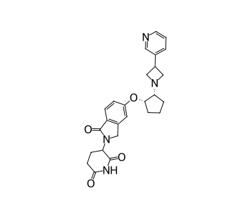 O=C1CCC(N2Cc3cc(O[C@H]4CCC[C@H]4N4CC(c5cccnc5)C4)ccc3C2=O)C(=O)N1